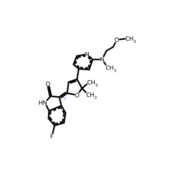 COCCN(C)c1cc(C2=C/C(=C3\C(=O)Nc4cc(F)ccc43)OC2(C)C)ccn1